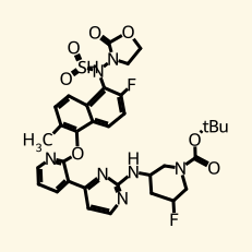 Cc1ccc2c(N(N3CCOC3=O)[SH](=O)=O)c(F)ccc2c1Oc1ncccc1-c1ccnc(NC2CC(F)CN(C(=O)OC(C)(C)C)C2)n1